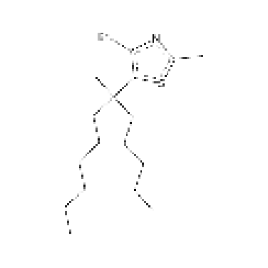 CCCCCCC(C)(CCCCC)c1sc(C)nc1Br